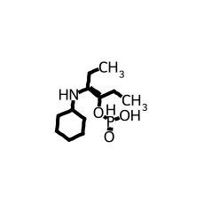 CCC(NC1CCCCC1)=C(CC)O[PH](=O)O